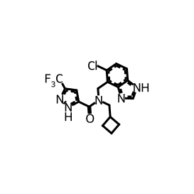 O=C(c1cc(C(F)(F)F)n[nH]1)N(Cc1c(Cl)ccc2[nH]cnc12)CC1CCC1